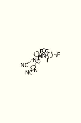 CC(C)(F)c1cc(I)c(NC(=O)c2cccc(N(CCCC#N)C(=O)c3ccc(C#N)nc3)c2F)c(C(F)(F)F)c1